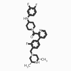 C[C@@H]1CN(Cc2ccc(-c3cccnc3C(=O)N3CCC(Nc4ccc(F)c(F)c4)CC3)cc2F)C[C@H](C)N1